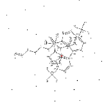 C=CCCC[CH2][Hf](=[CH2])([Cl])([Cl])([c]1ccccc1)([CH]1C=CC=C1)[CH]1c2cc(C(C)(C)C)ccc2-c2ccc(C(C)(C)C)cc21